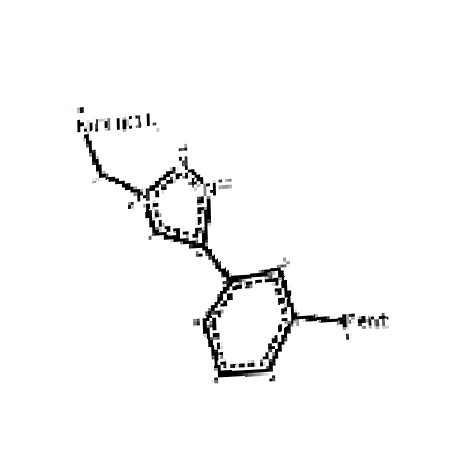 CCCC(C)c1cccc(-c2cn(CN(C)O)nn2)c1